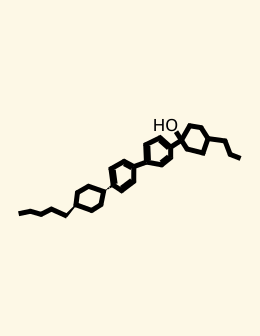 CCCCC[C@H]1CC[C@H](c2ccc(-c3ccc(C4(O)CCC(CCC)CC4)cc3)cc2)CC1